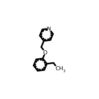 CCc1ccccc1OCc1ccncc1